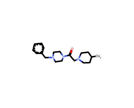 CC1CCN(CC(=O)N2CCN(Cc3ccccc3)CC2)CC1